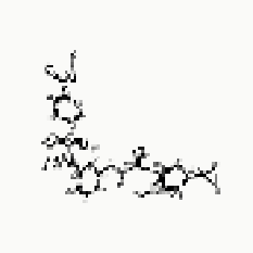 COC(=O)c1ccc(S(=O)(=O)Nc2cccc(CNC(=O)c3cc(C4CC4)nn3C)c2C)cc1